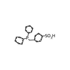 O=S(=O)(O)c1ccc(CP(c2ccccc2)c2ccccc2)cc1